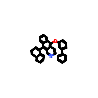 c1ccc(-c2cccc(Oc3c4ccccc4c(-c4cccc5ccccc45)c4cnccc34)c2)cc1